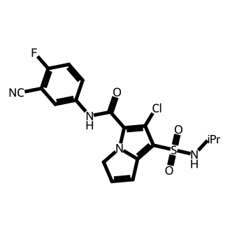 CC(C)NS(=O)(=O)c1c(Cl)c(C(=O)Nc2ccc(F)c(C#N)c2)n2c1C=CC2